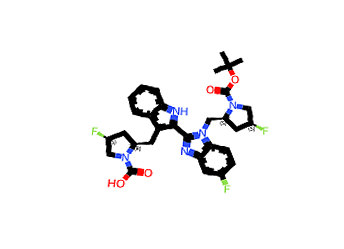 CC(C)(C)OC(=O)N1C[C@@H](F)C[C@H]1Cn1c(-c2[nH]c3ccccc3c2C[C@@H]2C[C@H](F)CN2C(=O)O)nc2cc(F)ccc21